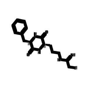 N=C(CCl)NCCC[C@@H]1NC(=O)[C@@H](Cc2ccccc2)NC1=O